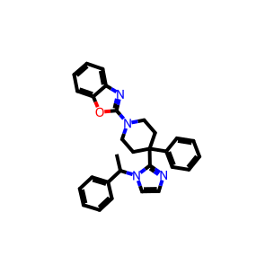 CC(c1ccccc1)n1ccnc1C1(c2ccccc2)CCN(c2nc3ccccc3o2)CC1